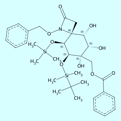 CC(C)(C)[Si](C)(C)O[C@H]1[C@@H](O[Si](C)(C)C)[C@@]2(CC(=O)N2OCc2ccccc2)[C@H](O)[C@H](O)[C@@]1(O)COC(=O)c1ccccc1